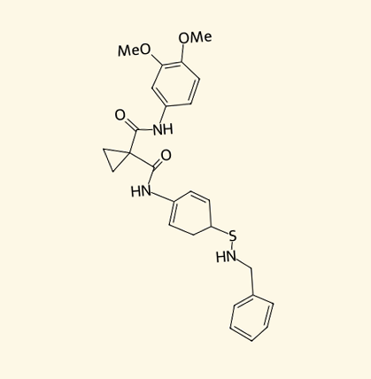 COc1ccc(NC(=O)C2(C(=O)NC3=CCC(SNCc4ccccc4)C=C3)CC2)cc1OC